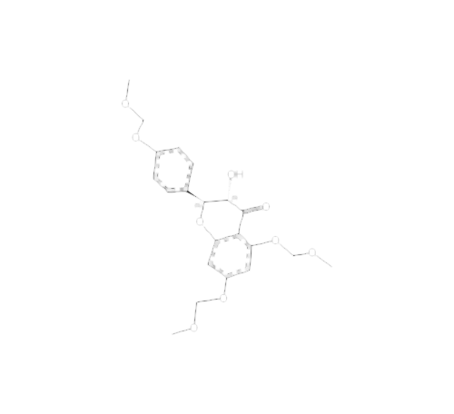 COCOc1ccc([C@@H]2Oc3cc(OCOC)cc(OCOC)c3C(=O)[C@H]2O)cc1